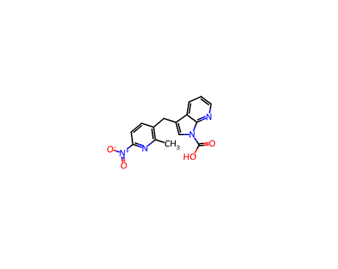 Cc1nc([N+](=O)[O-])ccc1Cc1cn(C(=O)O)c2ncccc12